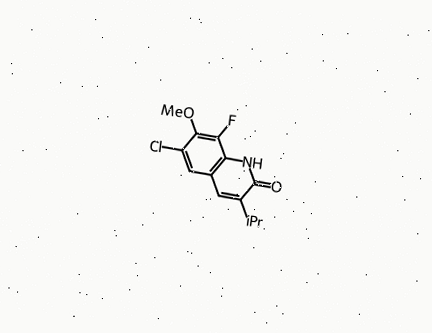 COc1c(Cl)cc2cc(C(C)C)c(=O)[nH]c2c1F